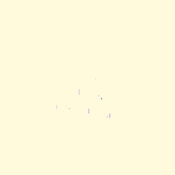 CC(C)(C)CNc1nc(N)nc(N)n1